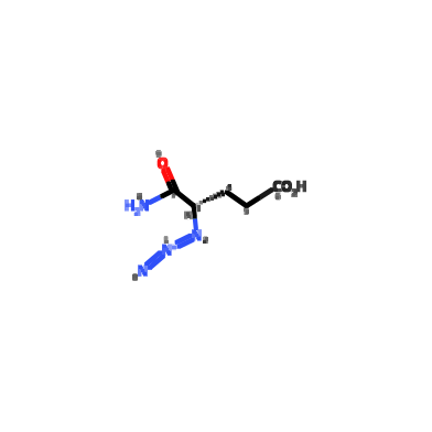 [N-]=[N+]=N[C@@H](CCC(=O)O)C(N)=O